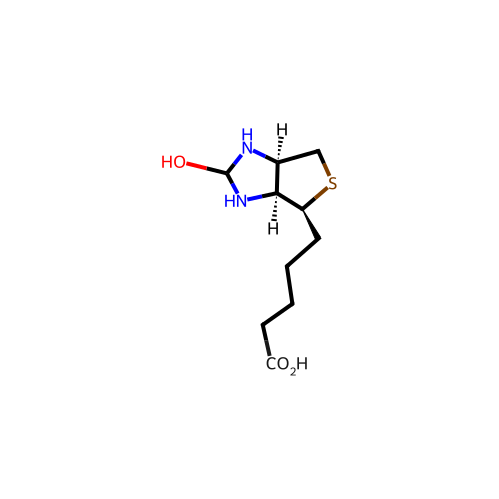 O=C(O)CCCC[C@@H]1SC[C@@H]2NC(O)N[C@@H]21